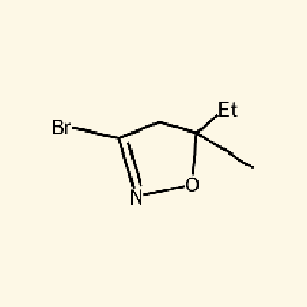 CCC1(C)CC(Br)=NO1